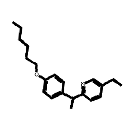 CCCCCCOc1ccc(C(C)c2ccc(CC)cn2)cc1